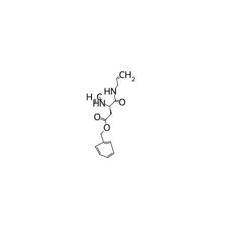 C=CCNC(=O)[C@@H](CC(=O)OCc1ccccc1)NC